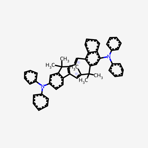 C/C1=C\C2=C(/C=C/c3c(cc(N(c4ccccc4)c4ccccc4)c4ccccc34)C1(C)C)C(C)(C)c1cc(N(c3ccccc3)c3ccccc3)ccc12